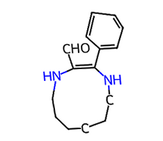 O=CC1=C(c2ccccc2)NCCCCCCN1